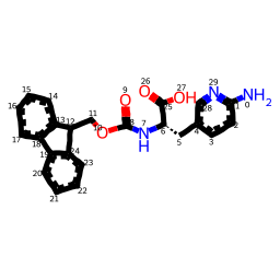 Nc1ccc(C[C@H](NC(=O)OCC2c3ccccc3-c3ccccc32)C(=O)O)cn1